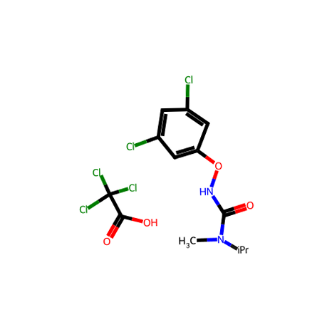 CC(C)N(C)C(=O)NOc1cc(Cl)cc(Cl)c1.O=C(O)C(Cl)(Cl)Cl